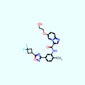 Cc1ccc(-c2noc(C3CC(F)(F)C3)n2)cc1NC(=O)c1cnc2ccc(OCCO)cn12